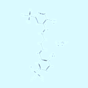 O=S(=O)([O-])c1ccc(O)c(C=NCCN=Cc2cc(S(=O)(=O)[O-])ccc2O)c1.[Cl-].[Mn+3]